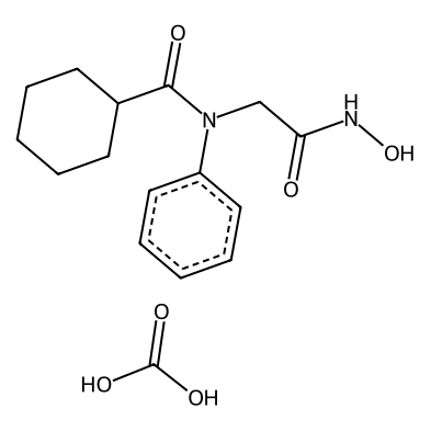 O=C(CN(C(=O)C1CCCCC1)c1ccccc1)NO.O=C(O)O